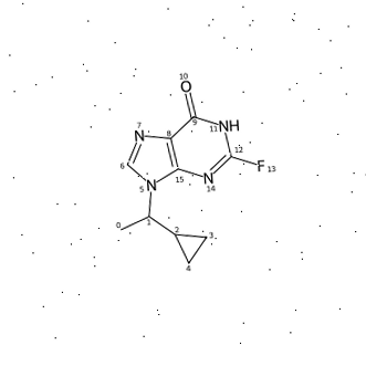 CC(C1CC1)n1cnc2c(=O)[nH]c(F)nc21